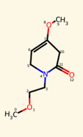 COCCN1CC=C(OC)CC1=O